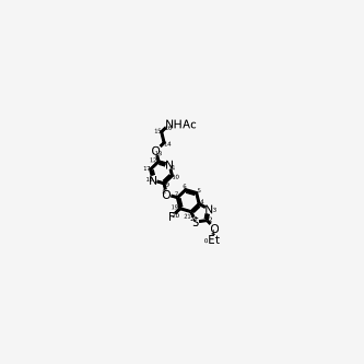 CCOc1nc2ccc(Oc3cnc(OCCNC(C)=O)cn3)c(F)c2s1